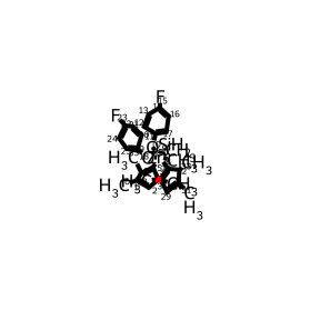 CC1=CC(C)[C]([Zr]([CH3])([CH3])(=[SiH2])([O]c2ccc(F)cc2)([O]c2ccc(F)cc2)[C]2=C(C)C=C(C)C2C)=C1C